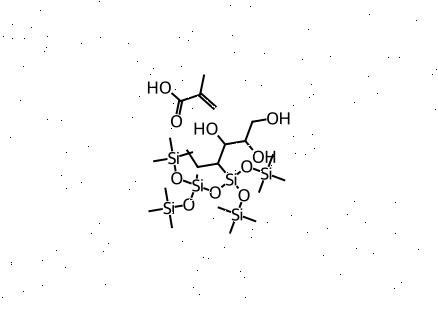 C=C(C)C(=O)O.CCC(C(O)C(O)CO)[Si](O[Si](C)(C)C)(O[Si](C)(C)C)O[Si](C)(O[Si](C)(C)C)O[Si](C)(C)C